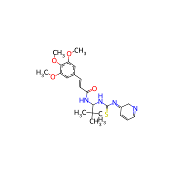 COc1cc(/C=C/C(=O)NC(NC(=S)N=C2C=CC=NC2)C(C)(C)C)cc(OC)c1OC